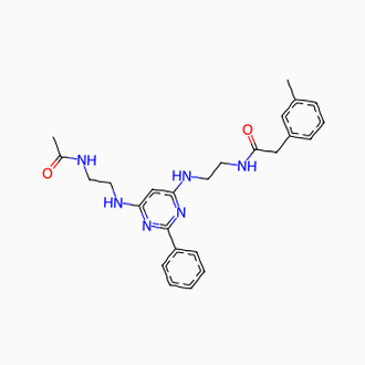 CC(=O)NCCNc1cc(NCCNC(=O)Cc2cccc(C)c2)nc(-c2ccccc2)n1